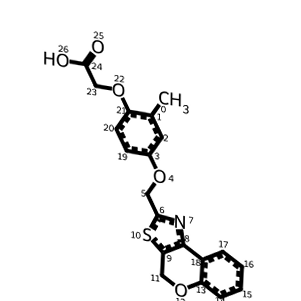 Cc1cc(OCc2nc3c(s2)COc2ccccc2-3)ccc1OCC(=O)O